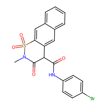 CN1C(=O)C(C(=O)Nc2ccc(Br)cc2)c2cc3ccccc3cc2S1(=O)=O